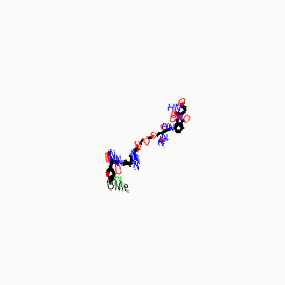 COc1ccc(-c2ocnc2C(=O)NCCCc2cn(CCOCCOCCOCCC(N=[N+]=[N-])C(=O)CNc3cccc4c3C(=O)N(C3CCC(=O)NC3=O)C4=O)nn2)cc1Cl